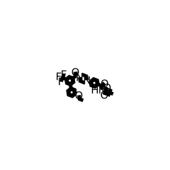 CCOc1cccc(-c2cc(C(=O)N3CCN(c4ccc(C(=O)NS(=O)(=O)C(C)(C)C)cc4)CC3)cc(C(F)(F)F)c2)c1